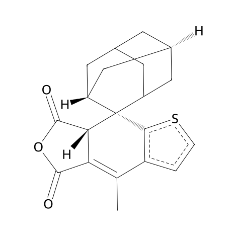 CC1=C2C(=O)OC(=O)[C@@H]2[C@]2(c3sccc31)C1CC3C[C@@H](C1)C[C@H]2C3